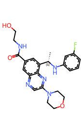 C[C@H](Nc1cccc(F)c1)c1cc(C(=O)NCCO)cc2ncc(N3CCOCC3)nc12